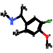 CNC(C)c1cc(Cl)c(OC)cc1C